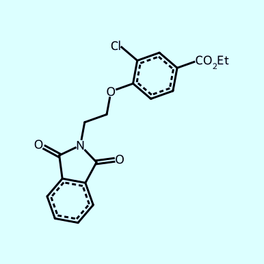 CCOC(=O)c1ccc(OCCN2C(=O)c3ccccc3C2=O)c(Cl)c1